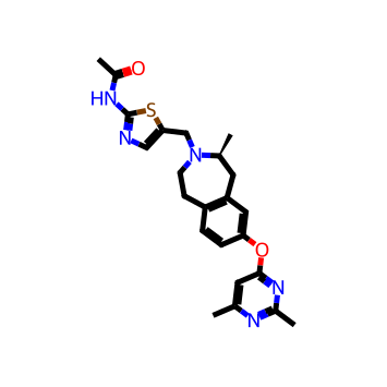 CC(=O)Nc1ncc(CN2CCc3ccc(Oc4cc(C)nc(C)n4)cc3C[C@@H]2C)s1